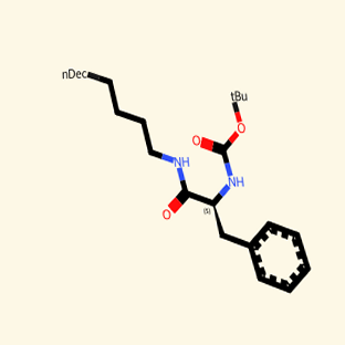 CCCCCCCCCCCCCCNC(=O)[C@H](Cc1ccccc1)NC(=O)OC(C)(C)C